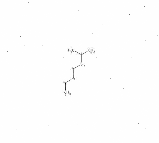 [CH2]C(C)SCCCC